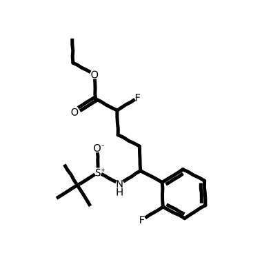 CCOC(=O)C(F)CCC(N[S+]([O-])C(C)(C)C)c1ccccc1F